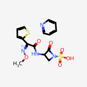 CO/N=C(\C(=O)NC1CN(S(=O)(=O)O)C1=O)c1cccs1.c1ccncc1